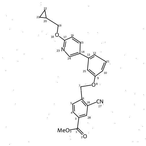 COC(=O)c1ccc(COc2cccc(-c3ccc(OCC4CC4)nc3)c2)c(C#N)c1